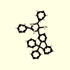 N#CC1=C(c2ccc3c(c2)C(c2ccccc2)(c2ccccc2)c2ccccc2-3)N=C(c2ccccc2)NC1c1ccccc1